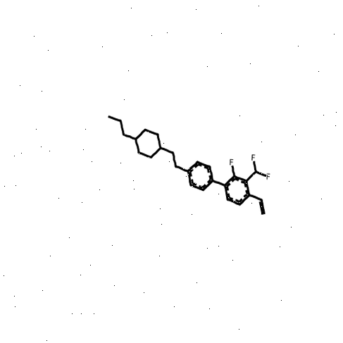 C=Cc1ccc(-c2ccc(CCC3CCC(CCC)CC3)cc2)c(F)c1C(F)F